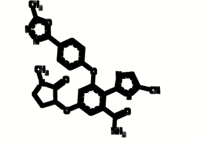 Cc1nnc(-c2ccc(Oc3cc(OC4CCN(C)C4=O)cc(C(N)=O)c3-c3ncc(C#N)s3)cc2)o1